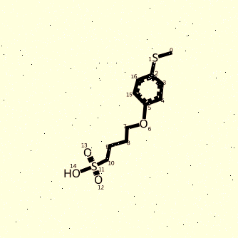 CSc1ccc(OCCCCS(=O)(=O)O)cc1